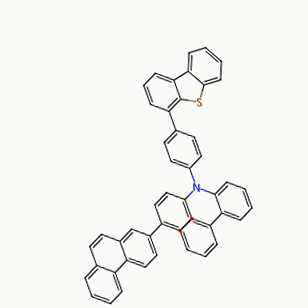 c1ccc(-c2ccccc2N(c2ccc(-c3ccc4c(ccc5ccccc54)c3)cc2)c2ccc(-c3cccc4c3sc3ccccc34)cc2)cc1